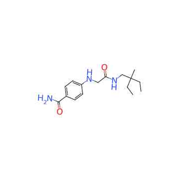 CCC(C)(CC)CNC(=O)CNc1ccc(C(N)=O)cc1